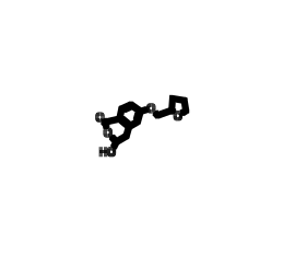 O=C1OC(O)Cc2cc(OCC3CCCO3)ccc21